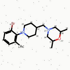 CC(=O)c1cccc(Br)c1N1CCC(CN2CC(C)OC(C)C2)CC1